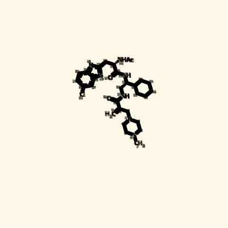 C=C(CN1CCN(C)CC1)C(=O)NC[C@@H](NC(=O)[C@H](Cc1nc2ccc(Cl)cc2s1)NC(C)=O)C1CCCCC1